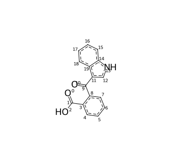 O=C(O)c1ccccc1C(=O)c1c[nH]c2ccccc12